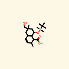 CC1C=CC2CC(C)(CO)CC(O[Si](C)(C)C(C)(C)C)C2C1C(=O)O